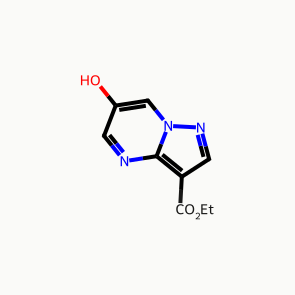 CCOC(=O)c1cnn2cc(O)cnc12